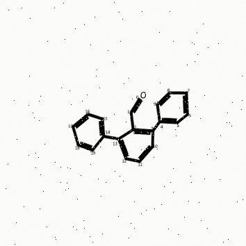 O=Cc1c(-c2ccccc2)cccc1-c1ccccc1